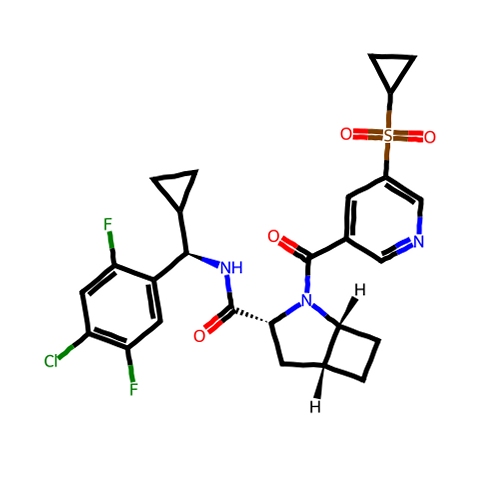 O=C(N[C@@H](c1cc(F)c(Cl)cc1F)C1CC1)[C@H]1C[C@H]2CC[C@H]2N1C(=O)c1cncc(S(=O)(=O)C2CC2)c1